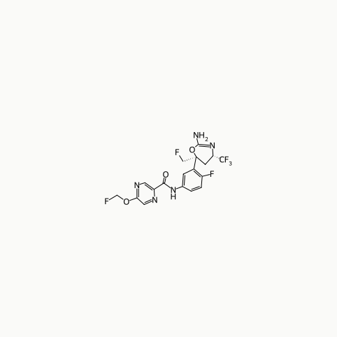 NC1=N[C@H](C(F)(F)F)C[C@@](CF)(c2cc(NC(=O)c3cnc(OCF)cn3)ccc2F)O1